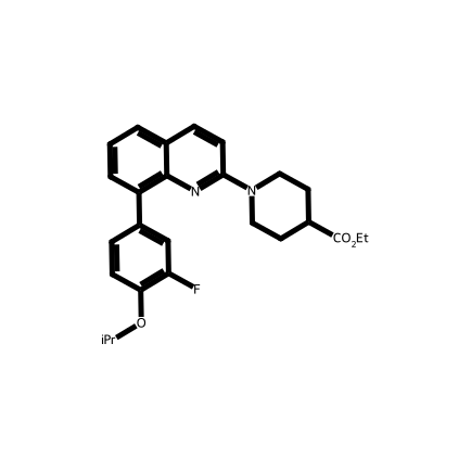 CCOC(=O)C1CCN(c2ccc3cccc(-c4ccc(OC(C)C)c(F)c4)c3n2)CC1